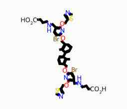 Cc1c(COc2nc(OCc3cncs3)c(CNCCCC(=O)O)cc2Br)cccc1-c1cccc(COc2nc(OCc3cncs3)c(CNCCCC(=O)O)cc2Br)c1C